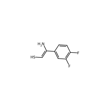 N/C(=C\S)c1ccc(F)c(F)c1